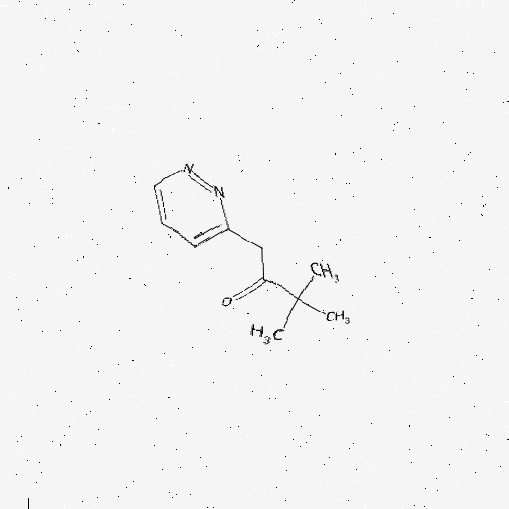 CC(C)(C)C(=O)Cc1cccnn1